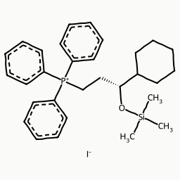 C[Si](C)(C)O[C@H](CC[P+](c1ccccc1)(c1ccccc1)c1ccccc1)C1CCCCC1.[I-]